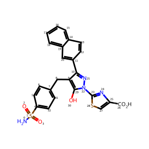 NS(=O)(=O)c1ccc(Cc2c(-c3ccc4ccccc4c3)nn(-c3nc(C(=O)O)cs3)c2O)cc1